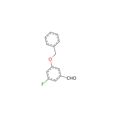 O=Cc1cc(F)cc(OCc2ccccc2)c1